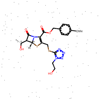 COc1ccc(COC(=O)C2=C(CSc3nnnn3CCO)S[C@@H]3C([C@@H](C)O)C(=O)N23)cc1